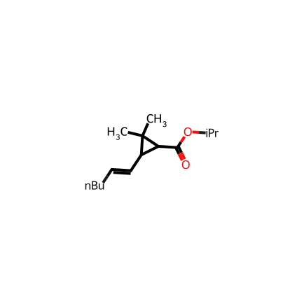 CCCCC=CC1C(C(=O)OC(C)C)C1(C)C